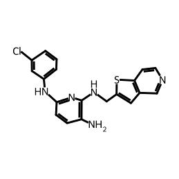 Nc1ccc(Nc2cccc(Cl)c2)nc1NCc1cc2cnccc2s1